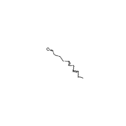 CCC=CCC=CCCCC=O